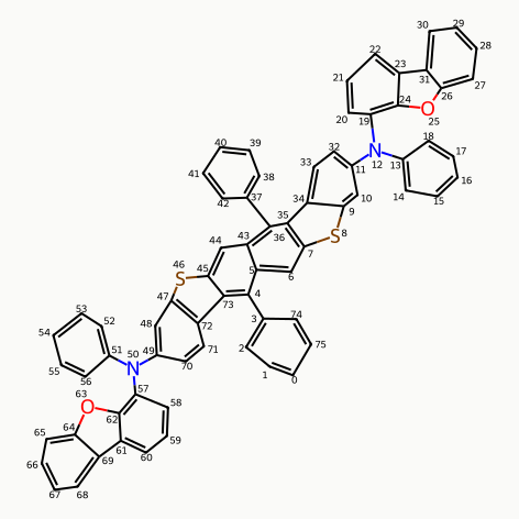 c1ccc(-c2c3cc4sc5cc(N(c6ccccc6)c6cccc7c6oc6ccccc67)ccc5c4c(-c4ccccc4)c3cc3sc4cc(N(c5ccccc5)c5cccc6c5oc5ccccc56)ccc4c23)cc1